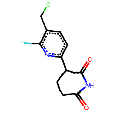 O=C1CCC(c2ccc(CCl)c(F)n2)C(=O)N1